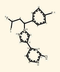 Fc1ccc(C(CC(F)F)n2cc(-c3ccnc(Cl)n3)cn2)cc1